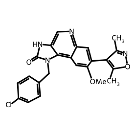 COc1cc2c(cc1-c1c(C)noc1C)ncc1[nH]c(=O)n(Cc3ccc(Cl)cc3)c12